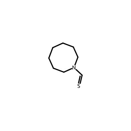 S=CN1CCCCCCC1